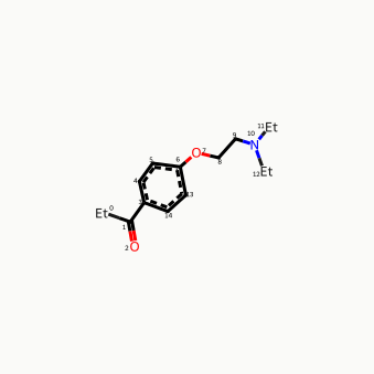 CCC(=O)c1ccc(OCCN(CC)CC)cc1